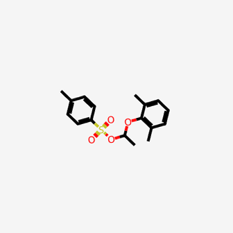 Cc1ccc(S(=O)(=O)OC(C)Oc2c(C)cccc2C)cc1